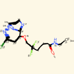 O=C(CCC(F)(F)COc1cc(Cl)nn2ccnc12)NCC(F)(F)F